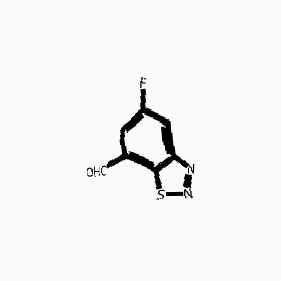 O=Cc1cc(F)cc2nnsc12